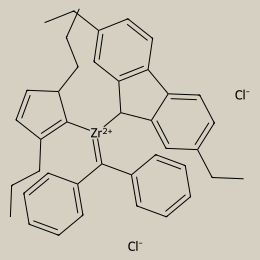 CCCC1=[C]([Zr+2](=[C](c2ccccc2)c2ccccc2)[CH]2c3cc(CC)ccc3-c3ccc(CC)cc32)C(CCC)C=C1.[Cl-].[Cl-]